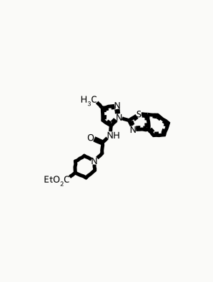 CCOC(=O)C1CCN(CC(=O)Nc2cc(C)nn2-c2nc3ccccc3s2)CC1